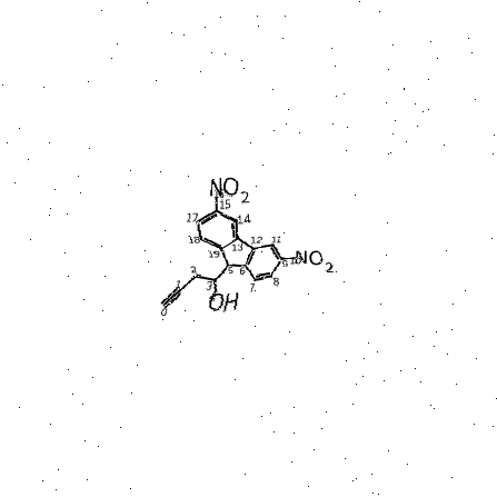 C#CCC(O)C1c2ccc([N+](=O)[O-])cc2-c2cc([N+](=O)[O-])ccc21